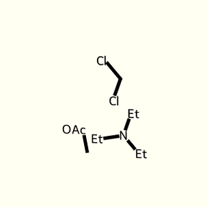 CCN(CC)CC.COC(C)=O.ClCCl